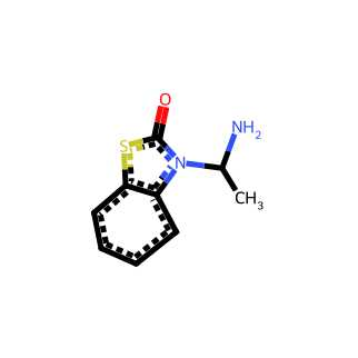 CC(N)n1c(=O)sc2ccccc21